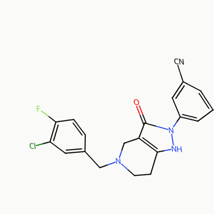 N#Cc1cccc(-n2[nH]c3c(c2=O)CN(Cc2ccc(F)c(Cl)c2)CC3)c1